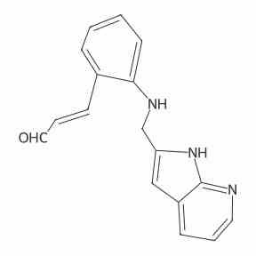 O=C/C=C/c1ccccc1NCc1cc2cccnc2[nH]1